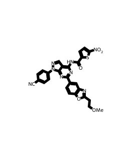 COCCc1nc2cc(-c3nc(NC(=O)c4ccc([N+](=O)[O-])s4)c4cnn(-c5ccc(C#N)cc5)c4n3)ccc2o1